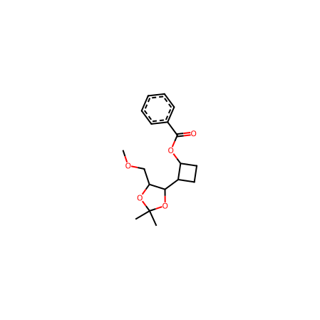 COCC1OC(C)(C)OC1C1CCC1OC(=O)c1ccccc1